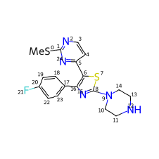 CSc1nccc(-c2sc(N3CCNCC3)nc2-c2ccc(F)cc2)n1